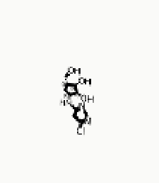 OC[C@H]1C[C@@H](Nc2cc(Cl)ncn2)[C@H](O)[C@@H]1O